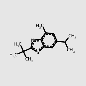 Cc1cc(C(C)C)cc2sc(C(C)(C)C)nc12